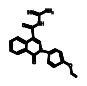 CCOc1ccc(-n2cc(C(=O)NC(=N)N)c3ccccc3c2=O)cc1